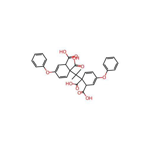 CC(C)(C1(C(=O)O)C=CC(Oc2ccccc2)=CC1C(=O)O)C1(C(=O)O)C=CC(Oc2ccccc2)=CC1C(=O)O